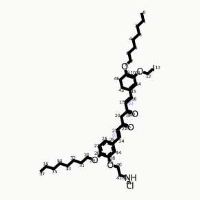 CCCCCCCCOC1=C(OCI)C=C(/C=C/C(=O)CC(=O)/C=C/c2ccc(OCCCCCCCC)c(OCCNCl)c2)CC1